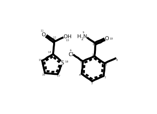 Cc1cccc(Cl)c1C(N)=O.O=C(O)c1cccs1